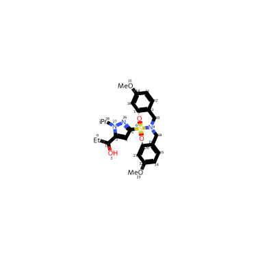 CCC(O)c1cc(S(=O)(=O)N(Cc2ccc(OC)cc2)Cc2ccc(OC)cc2)nn1C(C)C